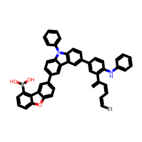 C=C(/C=C\C=C/CC)c1cc(-c2ccc3c(c2)c2cc(-c4ccc5oc6cccc(B(O)O)c6c5c4)ccc2n3-c2ccccc2)ccc1Nc1ccccc1